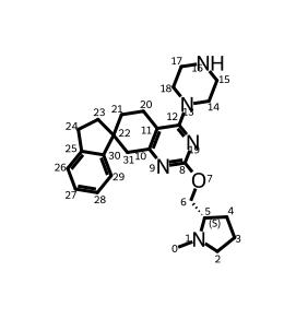 CN1CCC[C@H]1COc1nc2c(c(N3CCNCC3)n1)CCC1(CCc3ccccc31)C2